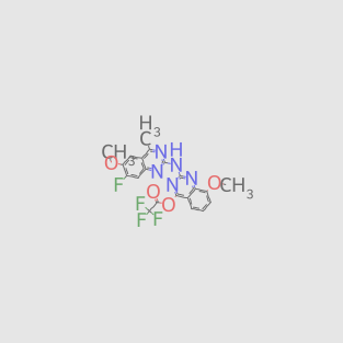 COc1cc2c(C)nc(Nc3nc(OC(=O)C(F)(F)F)c4cccc(OC)c4n3)nc2cc1F